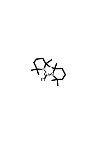 CC1(C)CCCC(C)(C)[N]1[Ga]([Cl])[N]1C(C)(C)CCCC1(C)C